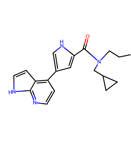 CCCN(CC1CC1)C(=O)c1cc(-c2ccnc3[nH]ccc23)c[nH]1